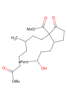 CCCCCC(O)CCC1CCC(=O)C1(CCC(C)CCCC(=O)OCC(C)C)C(=O)OC